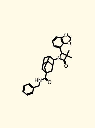 CC1(C)C(=O)N(C2C3CC4CC2CC(C(=O)NCc2ccccc2)(C4)C3)C1c1cccc2c1OCO2